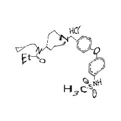 CCC(=O)N(CC1CC1)C1CCN(Cc2ccc(Oc3ccc(NS(C)(=O)=O)cc3)cc2)CC1.Cl